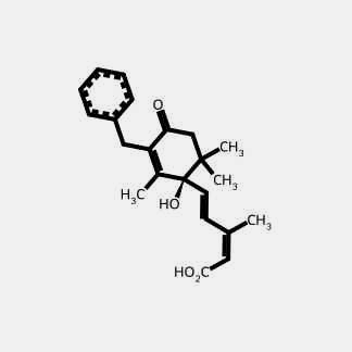 CC1=C(Cc2ccccc2)C(=O)CC(C)(C)[C@]1(O)/C=C/C(C)=C\C(=O)O